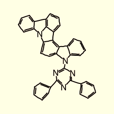 c1ccc(-c2nc(-c3ccccc3)nc(-n3c4ccccc4c4c5c6cccc7c8ccccc8n(c5ccc43)c76)n2)cc1